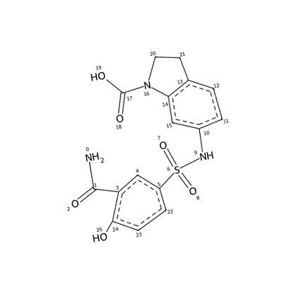 NC(=O)c1cc(S(=O)(=O)Nc2ccc3c(c2)N(C(=O)O)CC3)ccc1O